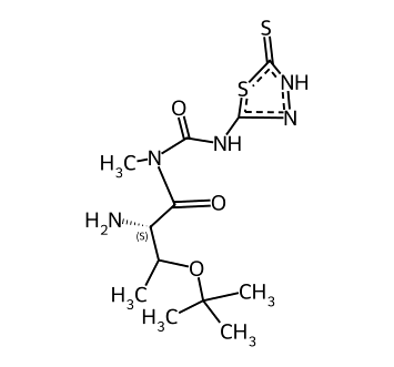 CC(OC(C)(C)C)[C@H](N)C(=O)N(C)C(=O)Nc1n[nH]c(=S)s1